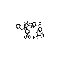 O=C(O)C1CCCN1c1ccc(C(=O)N2CCN(CC(O)(c3cn(Cc4ccccc4)c4cc([N+](=O)[O-])ccc34)C(F)(F)F)CC2)cn1